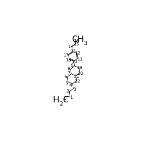 C=CCCC1CCC2CC(c3ccc(CCC)cc3)CCC2C1